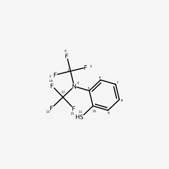 FC(F)(F)N(c1ccccc1S)C(F)(F)F